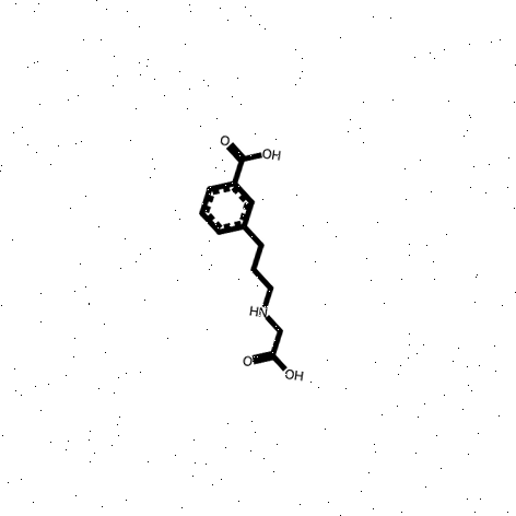 O=C(O)CNCCCc1cccc(C(=O)O)c1